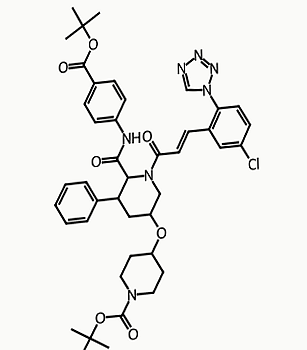 CC(C)(C)OC(=O)c1ccc(NC(=O)C2C(c3ccccc3)CC(OC3CCN(C(=O)OC(C)(C)C)CC3)CN2C(=O)C=Cc2cc(Cl)ccc2-n2cnnn2)cc1